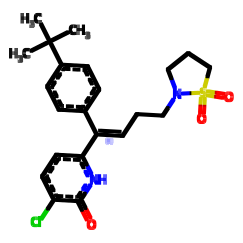 CC(C)(C)c1ccc(/C(=C\CCN2CCCS2(=O)=O)c2ccc(Cl)c(=O)[nH]2)cc1